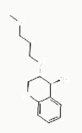 COCCCO[C@H]1COc2ccccc2[C@@H]1N